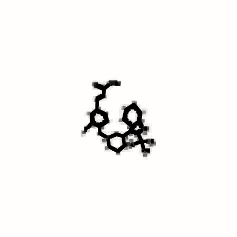 COC(=O)C=Cc1ccc(CN2CCCC(c3c(C(C)(C)O)[nH]c4ccccc34)C2)c(F)c1